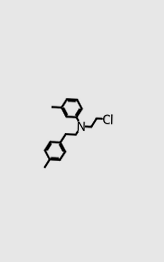 Cc1ccc(CCN(CCCl)c2cccc(C)c2)cc1